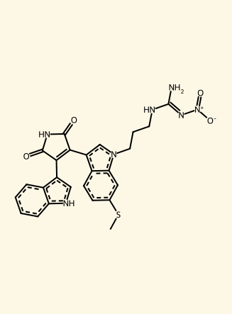 CSc1ccc2c(C3=C(c4c[nH]c5ccccc45)C(=O)NC3=O)cn(CCCNC(N)=N[N+](=O)[O-])c2c1